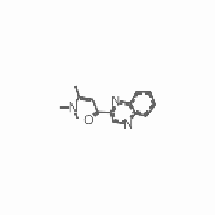 CC(=CC(=O)c1cnc2ccccc2n1)N(C)C